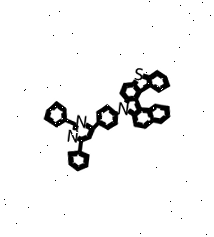 c1ccc(-c2cc(-c3ccc(-n4c5ccc6ccccc6c5c5c6c(ccc54)sc4ccccc46)cc3)nc(-c3ccccc3)n2)cc1